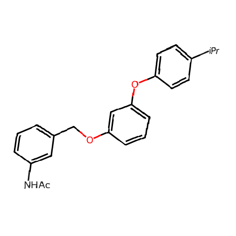 CC(=O)Nc1cccc(COc2cccc(Oc3ccc(C(C)C)cc3)c2)c1